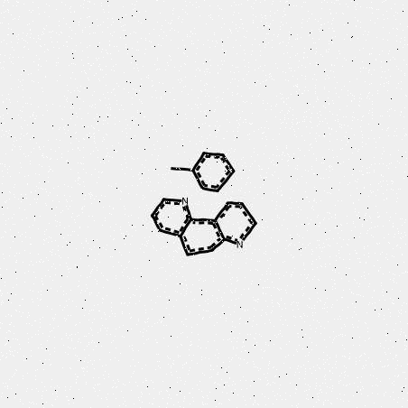 Cc1ccccc1.c1cnc2c(c1)ccc1ncccc12